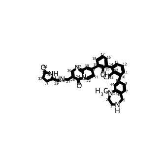 CN1CCNCc2ccc(-c3cccc(-c4cccc(-c5ccn6c(=O)c(CNCC7CCC(=O)N7)cnc6c5)c4Cl)c3Cl)cc21